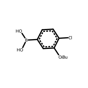 CC(C)COc1cc(B(O)O)ccc1Cl